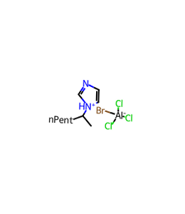 CCCCCC(C)[NH+]1C=CN=C1.[Cl][Al-]([Cl])([Cl])[Br]